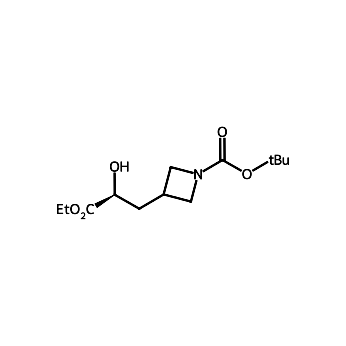 CCOC(=O)[C@@H](O)CC1CN(C(=O)OC(C)(C)C)C1